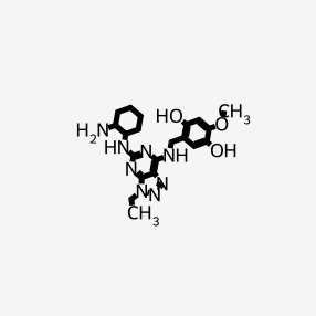 CCn1nnc2c(NCc3cc(O)c(OC)cc3O)nc(NC3CCCCC3N)nc21